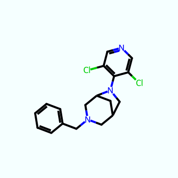 Clc1cncc(Cl)c1N1CC2CC1CN(Cc1ccccc1)C2